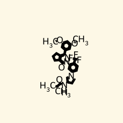 COc1cc(OC)cc(-c2nn(-c3cc(N4CCC(NC(=O)C(C)C)C4)ccc3C(F)(F)F)c(=O)c3c2CCC3)c1